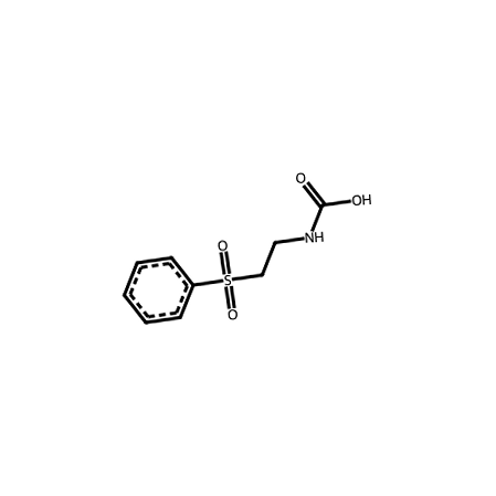 O=C(O)NCCS(=O)(=O)c1ccccc1